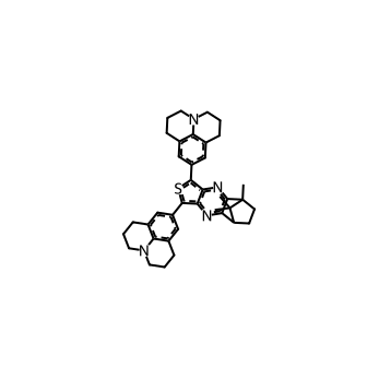 CC12CCC(c3nc4c(-c5cc6c7c(c5)CCCN7CCC6)sc(-c5cc6c7c(c5)CCCN7CCC6)c4nc31)C2(C)C